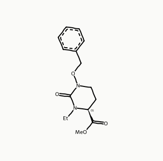 CCN1C(=O)N(OCc2ccccc2)CC[C@H]1C(=O)OC